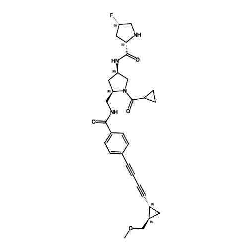 COC[C@@H]1C[C@H]1C#CC#Cc1ccc(C(=O)NC[C@H]2C[C@@H](NC(=O)[C@@H]3C[C@H](F)CN3)CN2C(=O)C2CC2)cc1